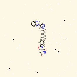 O=C1CCC(N2Cc3cc(CCCCCCCn4cc(-c5cnc6ccccc6n5)cn4)ccc3C2=O)C(=O)N1